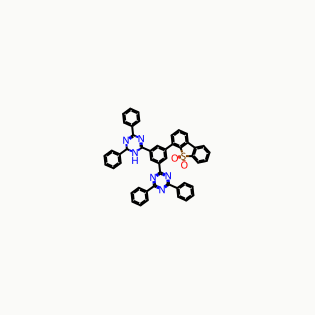 O=S1(=O)c2ccccc2-c2cccc(-c3cc(C4=NC(c5ccccc5)=NC(c5ccccc5)N4)cc(-c4nc(-c5ccccc5)nc(-c5ccccc5)n4)c3)c21